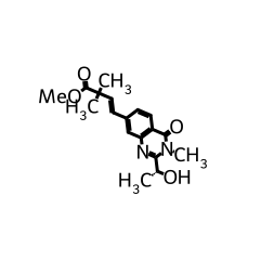 COC(=O)C(C)(C)/C=C/c1ccc2c(=O)n(C)c([C@@H](C)O)nc2c1